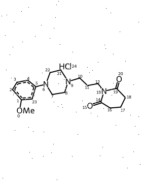 COc1cccc(N2CCN(CCCN3C(=O)CCCC3=O)CC2)c1.Cl